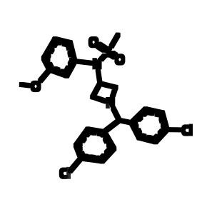 COc1cccc(N(C2CN(C(c3ccc(Cl)cc3)c3ccc(Cl)cc3)C2)S(C)(=O)=O)c1